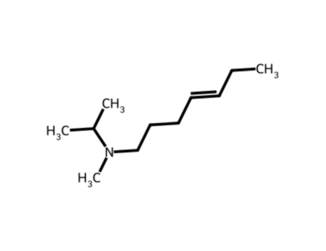 CC/C=C/CCCN(C)C(C)C